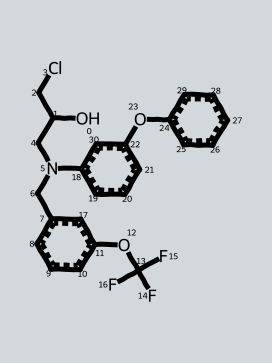 OC(CCl)CN(Cc1cccc(OC(F)(F)F)c1)c1cccc(Oc2ccccc2)c1